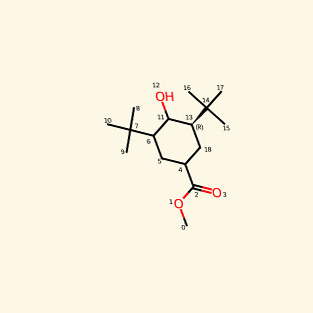 COC(=O)C1CC(C(C)(C)C)C(O)[C@@H](C(C)(C)C)C1